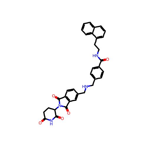 O=C1CCC(N2C(=O)c3ccc(CNCc4ccc(C(=O)NCCc5cccc6ccccc56)cc4)cc3C2=O)C(=O)N1